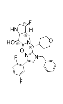 O=C1[C@@H](O)C2NC[C@@H](F)[C@H]2CN1[C@@H](c1nc(-c2cc(F)ccc2F)cn1Cc1ccccc1)C1CCOCC1